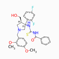 COc1ccc(CN2C[C@@H](CO)[C@](NC(=S)NC(=O)c3ccccc3)(c3ccc(F)cc3F)C2)c(OC)c1